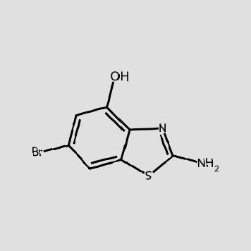 Nc1nc2c(O)cc(Br)cc2s1